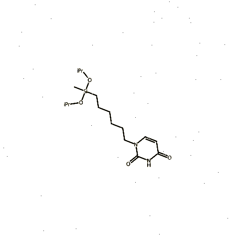 CC(C)O[Si](C)(CCCCCCn1ccc(=O)[nH]c1=O)OC(C)C